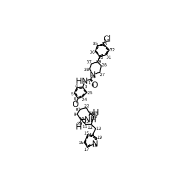 O=C(Nc1ccc(O[C@H]2C[C@H]3CC(Cc4cccnc4)C[C@@H](C2)N3)cc1)N1CCC(c2ccc(Cl)cc2)CC1